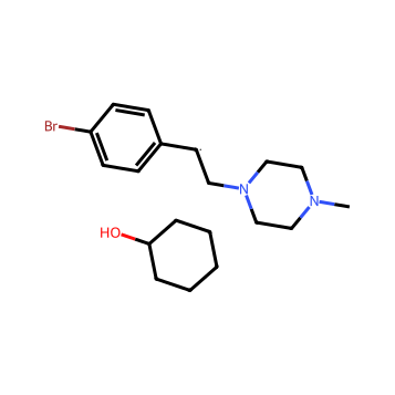 CN1CCN(C[CH]c2ccc(Br)cc2)CC1.OC1CCCCC1